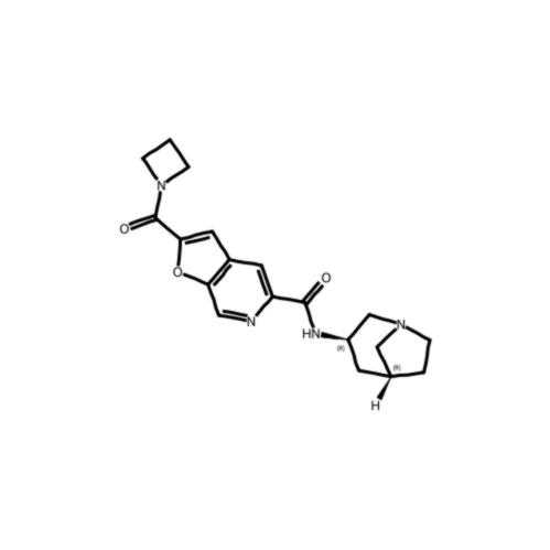 O=C(N[C@@H]1C[C@H]2CCN(C2)C1)c1cc2cc(C(=O)N3CCC3)oc2cn1